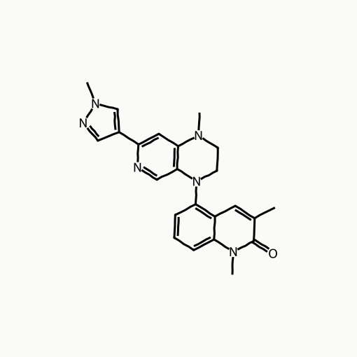 Cc1cc2c(N3CCN(C)c4cc(-c5cnn(C)c5)ncc43)cccc2n(C)c1=O